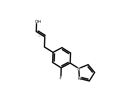 O/C=C/Cc1ccc(-n2cccn2)c(F)c1